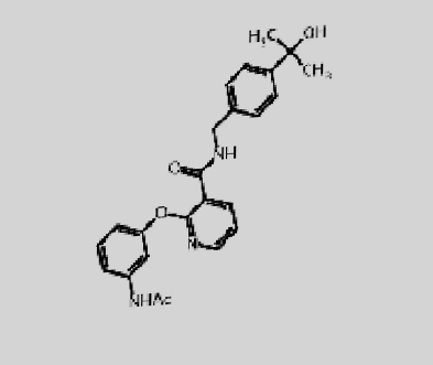 CC(=O)Nc1cccc(Oc2ncccc2C(=O)NCc2ccc(C(C)(C)O)cc2)c1